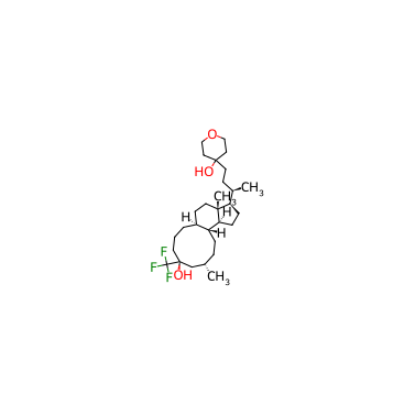 C[C@H]1CC[C@@H]2[C@@H](CCC[C@@](O)(C(F)(F)F)C1)CC[C@]1(C)[C@@H]([C@H](C)CCC3(O)CCOCC3)CC[C@@H]21